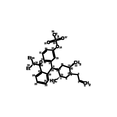 C=CCN1C[C@H](C)N([C@H](c2cccc(OS(=O)(=O)C(F)(F)F)c2)c2ccccc2C(=O)N(CC)CC)C[C@H]1C